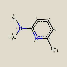 CC(=O)N(C)c1cccc(C)n1